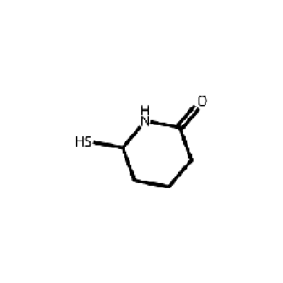 O=C1CCCC(S)N1